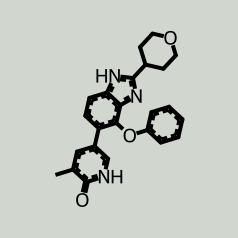 Cc1cc(-c2ccc3[nH]c(C4CCOCC4)nc3c2Oc2ccccc2)c[nH]c1=O